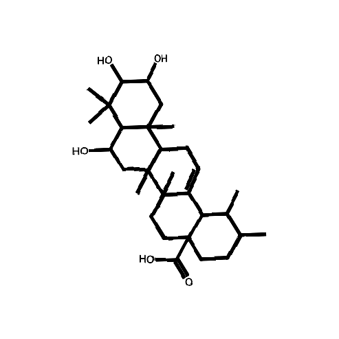 CC1CCC2(C(=O)O)CCC3(C)C(=CCC4C5(C)CC(O)C(O)C(C)(C)C5C(O)CC43C)C2C1C